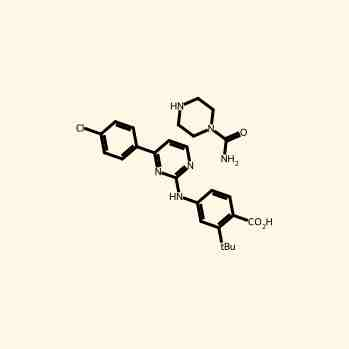 CC(C)(C)c1cc(Nc2nccc(-c3ccc(Cl)cc3)n2)ccc1C(=O)O.NC(=O)N1CCNCC1